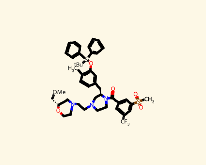 COC[C@@H]1CN(CCN2CCN(C(=O)c3cc(C(F)(F)F)cc(S(C)(=O)=O)c3)[C@H](Cc3ccc(C)c(O[Si](c4ccccc4)(c4ccccc4)C(C)(C)C)c3)C2)CCO1